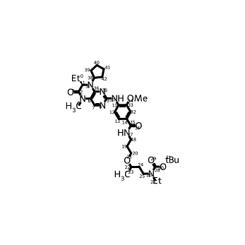 CC[C@@H]1C(=O)N(C)c2cnc(Nc3ccc(C(=O)NCCCOC(C)CCN(CC)C(=O)OC(C)(C)C)cc3OC)nc2N1C1CCCC1